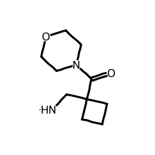 [NH]CC1(C(=O)N2CCOCC2)CCC1